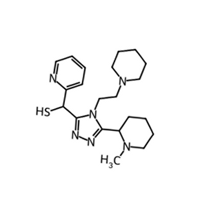 CN1CCCCC1c1nnc(C(S)c2ccccn2)n1CCN1CCCCC1